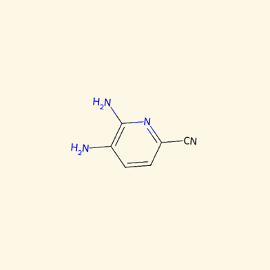 N#Cc1ccc(N)c(N)n1